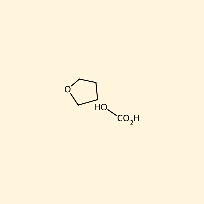 C1CCOC1.O=C(O)O